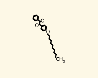 CCCCCCCCCCCCOc1ccc(C(=O)C(=O)c2ccccc2)cc1